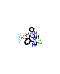 FC(F)Oc1cccc2c1[C@H]1C[C@H](c3nc4ccccc4n31)n1c(Cl)cnc1-2